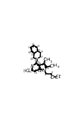 CCOCCn1c(C)c(C)c2c(N3CCc4ccccc4C3)nccc21.Cl